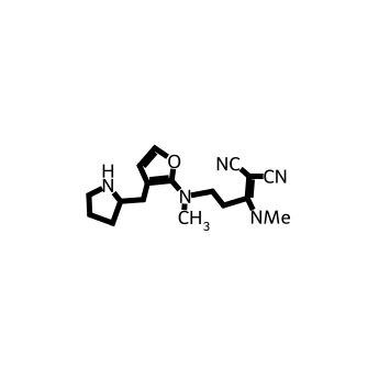 CNC(CCN(C)c1occc1CC1CCCN1)=C(C#N)C#N